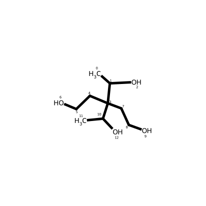 CC(O)C(CCO)(CCO)C(C)O